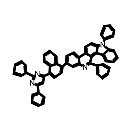 c1ccc(-c2cc(-c3ccc(-c4ccc5c(c4)nc(-c4ccccc4)c4c5ccc5c4c4ccccc4n5-c4ccccc4)c4ccccc34)nc(-c3ccccc3)n2)cc1